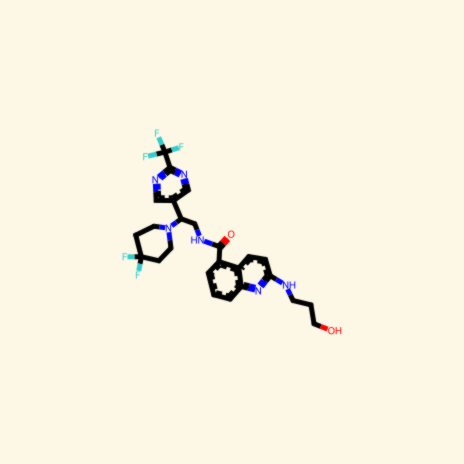 O=C(NCC(c1cnc(C(F)(F)F)nc1)N1CCC(F)(F)CC1)c1cccc2nc(NCCCO)ccc12